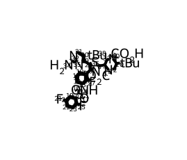 CC(C)(C)C1CN(C(=O)O)C(c2nc(-c3cccc(NS(=O)(=O)c4cc(F)ccc4F)c3F)c(-c3ccnc(N)n3)s2)C(C(C)(C)C)N1C(=O)O